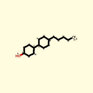 OC1CCC(C2CCC(CCCCC(F)(F)F)CC2)CC1